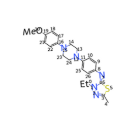 CCn1nc(C)sc1=Nc1ccc(N2CCN(c3ccc(OC)cc3)CC2)cc1